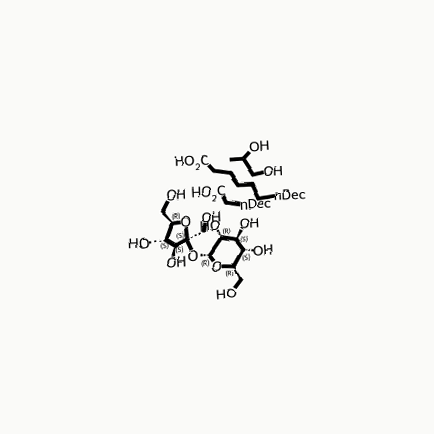 CC(O)CO.CCCCCCCCCCCC(=O)O.CCCCCCCCCCCCCCCC(=O)O.OC[C@H]1O[C@@](CO)(O[C@H]2O[C@H](CO)[C@@H](O)[C@H](O)[C@H]2O)[C@@H](O)[C@@H]1O